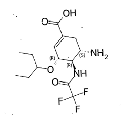 CCC(CC)O[C@@H]1C=C(C(=O)O)C[C@H](N)[C@H]1NC(=O)C(F)(F)F